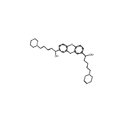 OC(CCCCN1CCCCC1)c1ccc2c(c1)Cc1cc(C(O)CCCCN3CCCCC3)ccc1S2